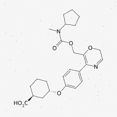 CN(C(=O)OCC1=C(c2ccc(O[C@H]3CCC[C@H](C(=O)O)C3)cc2)N=CCO1)C1CCCC1